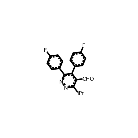 CC(C)c1nnc(-c2ccc(F)cc2)c(-c2ccc(F)cc2)c1C=O